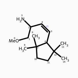 COCC(N)/C=C\C1C(C)(C)CCC1(C)C